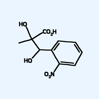 CC(O)(C(=O)O)C(O)c1ccccc1[N+](=O)[O-]